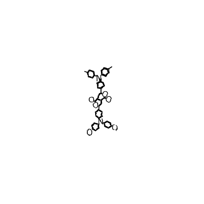 COc1ccc(N(c2ccc(OC)cc2)c2ccc(-c3cc4c(=O)oc(-c5ccc(N(c6ccc(C)cc6)c6ccc(C)cc6)cc5)cc4c(=O)o3)cc2)cc1